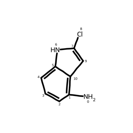 Nc1cccc2[nH]c(Cl)cc12